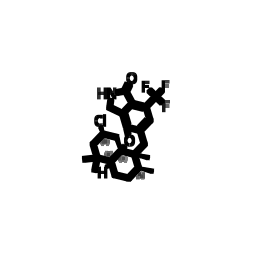 C[C@H]1CC[C@H]2C(C)(C)C[C@@H](Cl)C[C@]23Oc2c(cc(C(F)(F)F)c4c2CNC4=O)C[C@]13C